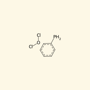 ClOCl.Pc1ccccc1